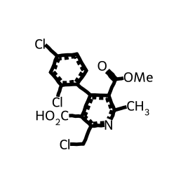 COC(=O)c1c(C)nc(CCl)c(C(=O)O)c1-c1ccc(Cl)cc1Cl